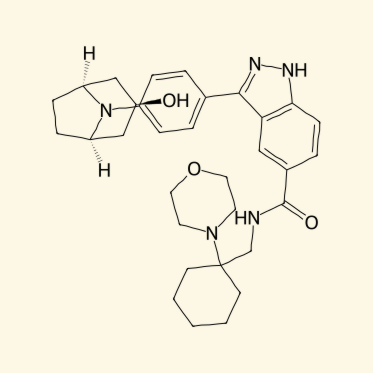 O=C(NCC1(N2CCOCC2)CCCCC1)c1ccc2[nH]nc(-c3ccc(N4[C@@H]5CC[C@H]4C[C@@H](O)C5)cc3)c2c1